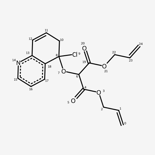 C=CCOC(=O)C(OC1(Cl)CC=Cc2ncccc21)C(=O)OCC=C